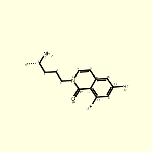 C[C@H](N)CCCn1ccc2cc(Br)cc(F)c2c1=O